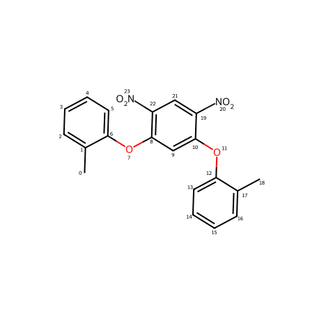 Cc1ccccc1Oc1cc(Oc2ccccc2C)c([N+](=O)[O-])cc1[N+](=O)[O-]